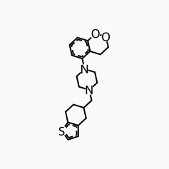 c1cc2c(c(N3CCN(CC4CCc5sccc5C4)CC3)c1)CCOO2